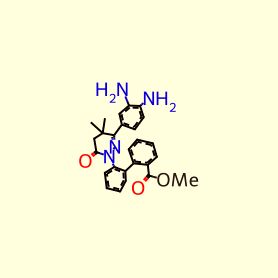 COC(=O)c1ccccc1-c1ccccc1N1N=C(c2ccc(N)c(N)c2)C(C)(C)CC1=O